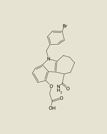 NC(=O)C1CCCCc2c1c1c(OCC(=O)O)cccc1n2Cc1ccc(Br)cc1